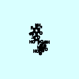 C#Cc1c(F)c(N)nc(=O)n1[C@@H]1O[C@H]([C@H](C)OP(=O)(O)OP(=O)(O)OP(=O)(O)O)[C@H](O)[C@@]1(C)F